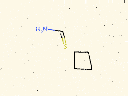 C1CCC1.NC=S